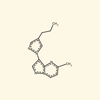 CCCc1cnn(-c2cnn3ccc(C)nc23)c1